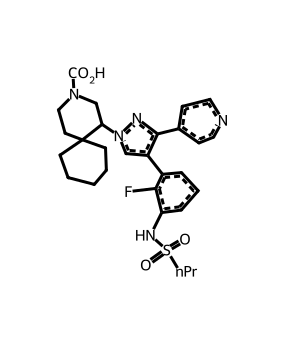 CCCS(=O)(=O)Nc1cccc(-c2cn(C3CN(C(=O)O)CCC34CCCCC4)nc2-c2ccncc2)c1F